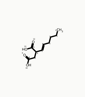 CCCCC=CC(CC(=O)O)C(=O)O